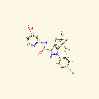 O=C(Nc1cc(O)ccn1)c1nn(-c2ccc(F)cc2F)c2c1C[C@H]1C[C@@H]21